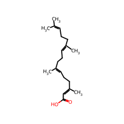 CC(C)=CCCC(C)=CCCC(C)=CCCC(C)=CC(=O)O